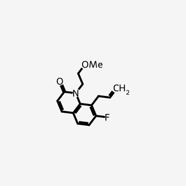 C=CCc1c(F)ccc2ccc(=O)n(CCOC)c12